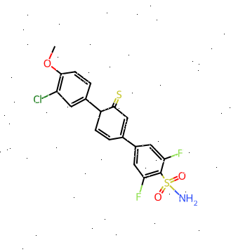 COc1ccc(C2C=CC(c3cc(F)c(S(N)(=O)=O)c(F)c3)=CC2=S)cc1Cl